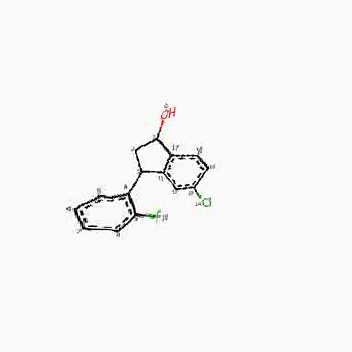 OC1CC(c2ccccc2F)c2cc(Cl)ccc21